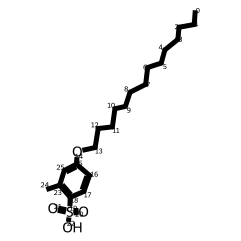 CCCCCCCCCCCCCCOc1ccc(S(=O)(=O)O)c(C)c1